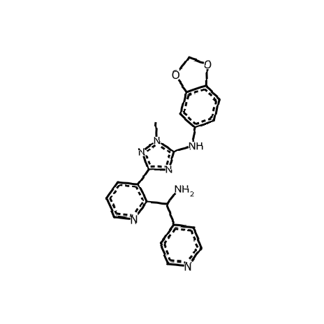 Cn1nc(-c2cccnc2C(N)c2ccncc2)nc1Nc1ccc2c(c1)OCO2